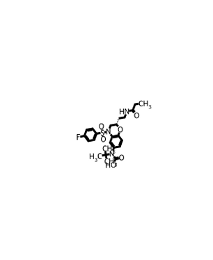 CCC(=O)NCC[C@H]1CN(S(=O)(=O)c2ccc(F)cc2)c2cc(N(C(=O)O)C(C)(C)C)ccc2O1